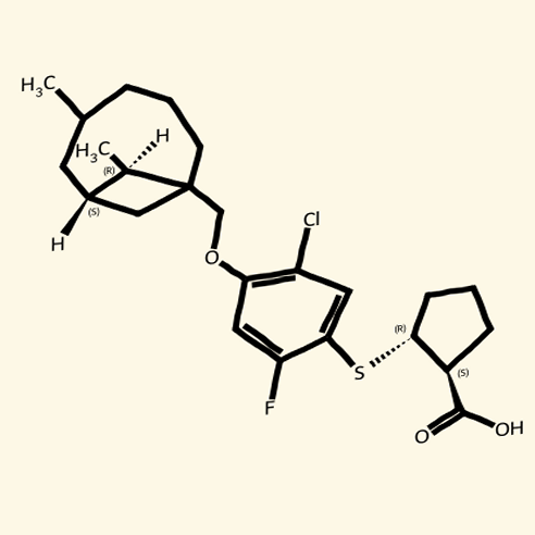 CC1CCCC2(COc3cc(F)c(S[C@@H]4CCC[C@H]4C(=O)O)cc3Cl)C[C@H](C1)[C@H]2C